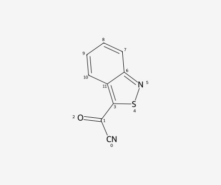 N#CC(=O)c1snc2ccccc12